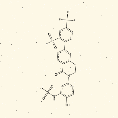 CS(=O)(=O)Nc1cc(N2CCc3cc(-c4ccc(C(F)(F)F)cc4S(C)(=O)=O)ccc3C2=O)ccc1O